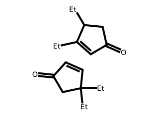 CCC1(CC)C=CC(=O)C1.CCC1=CC(=O)CC1CC